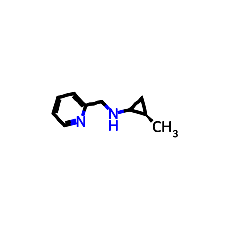 C[C@@H]1CC1NCc1ccccn1